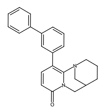 O=c1ccc(-c2cccc(-c3ccccc3)c2)c2n1CC1CCCN2C1